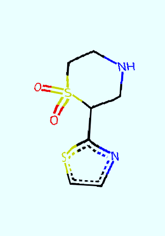 O=S1(=O)CCNCC1c1nccs1